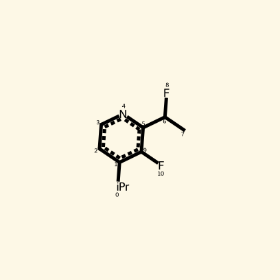 CC(C)c1ccnc(C(C)F)c1F